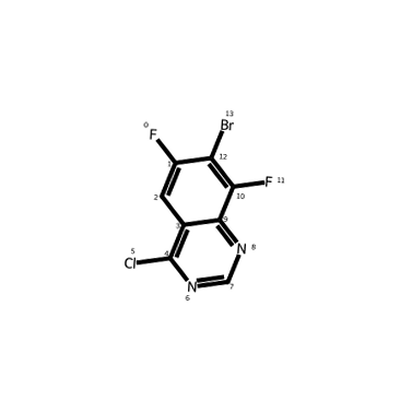 Fc1cc2c(Cl)ncnc2c(F)c1Br